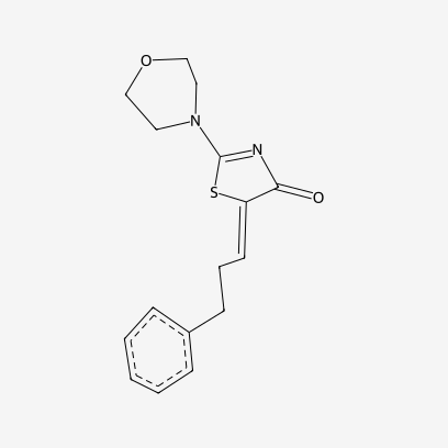 O=C1N=C(N2CCOCC2)SC1=CCCc1ccccc1